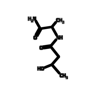 CC(O)CC(=O)NC(C)C(N)=O